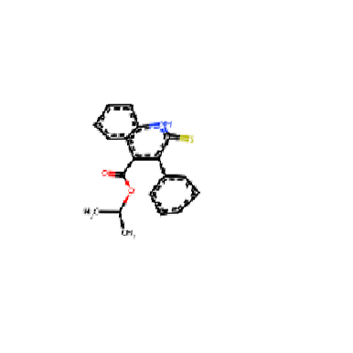 CC(C)OC(=O)c1c(-c2ccccc2)c(=S)[nH]c2ccccc12